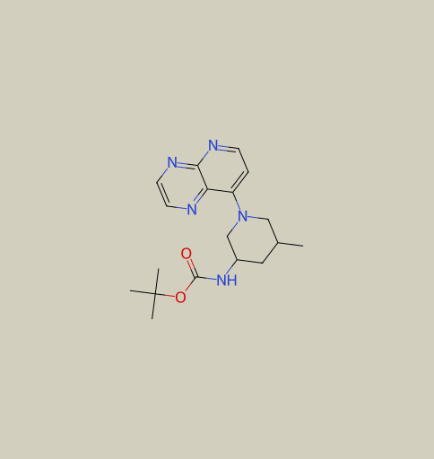 CC1CC(NC(=O)OC(C)(C)C)CN(c2ccnc3nccnc23)C1